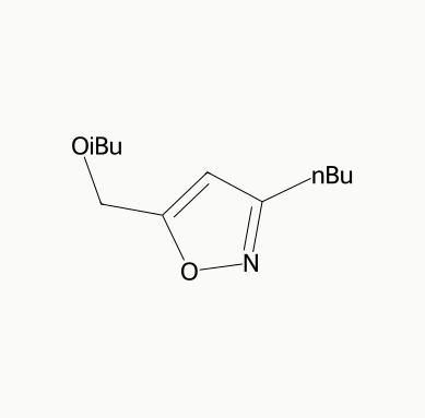 CCCCc1cc(COCC(C)C)on1